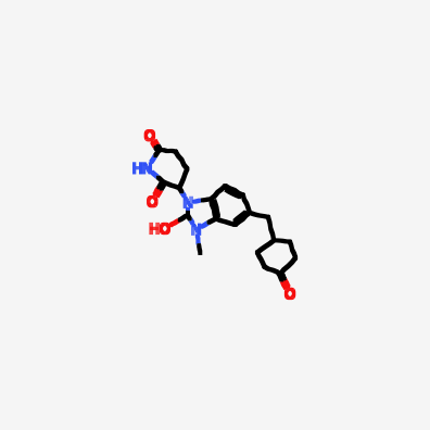 CN1c2cc(CC3CCC(=O)CC3)ccc2N(C2CCC(=O)NC2=O)C1O